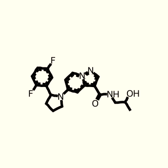 CC(O)CNC(=O)c1cnn2ccc(N3CCCC3c3cc(F)ccc3F)cc12